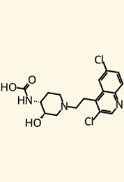 O=C(O)N[C@@H]1CCN(CCc2c(Cl)cnc3ccc(Cl)cc23)C[C@H]1O